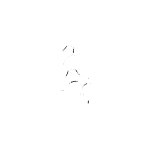 COc1cc(Cn2cccn2)cc2onc(N[SH]=O)c12